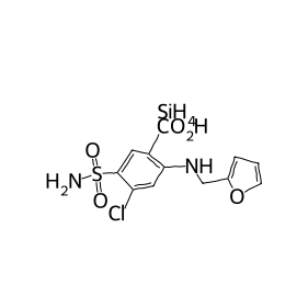 NS(=O)(=O)c1cc(C(=O)O)c(NCc2ccco2)cc1Cl.[SiH4]